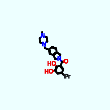 CC(C)c1cc(O)c(O)c(C(=O)N2Cc3ccc(CN4CCN(C)CC4)cc3C2)c1